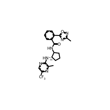 Cc1noc(-c2ccccc2C(=O)NC2CCC[C@@H]2Nc2ncc(C(F)(F)F)nc2C)n1